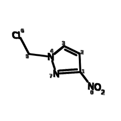 O=[N+]([O-])c1ccn(CCl)n1